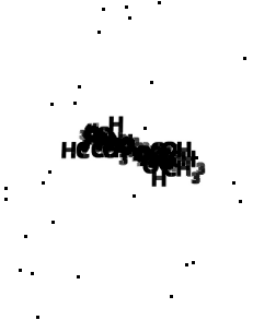 C#Cc1cccc2oc(C(=O)Nc3ccc(-c4ccc(S(=O)(=O)NC(C(=O)O)C(C)C)cc4)cc3)c(C)c12